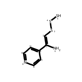 N/C(=C\SSS)c1ccncc1